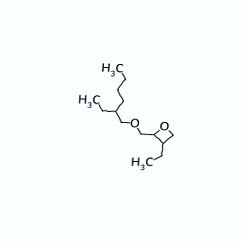 CCCCC(CC)COCC1OCC1CC